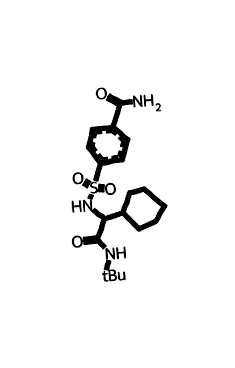 CC(C)(C)NC(=O)C(NS(=O)(=O)c1ccc(C(N)=O)cc1)C1CCCCC1